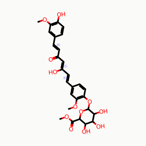 COC(=O)C1OC(Oc2ccc(/C=C/C(O)=C/C(=O)/C=C/c3ccc(O)c(OC)c3)cc2OC)C(O)C(O)C1O